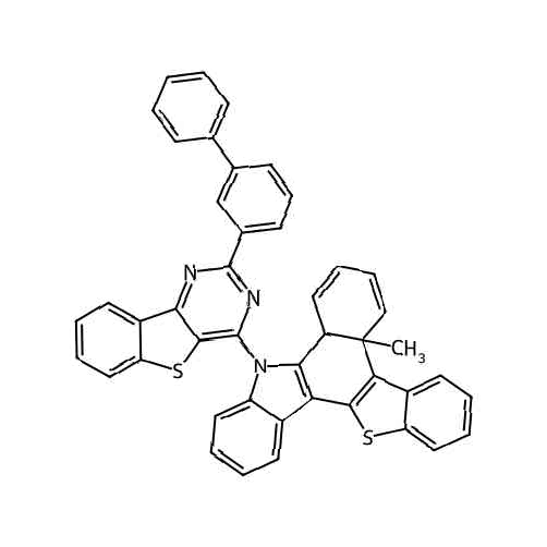 CC12C=CC=CC1c1c(c3ccccc3n1-c1nc(-c3cccc(-c4ccccc4)c3)nc3c1sc1ccccc13)-c1sc3ccccc3c12